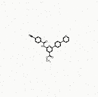 COC(=O)c1cc(NC(=O)c2ccc(C#N)cc2)nc(-c2ccc(-c3cccnc3)cc2)c1